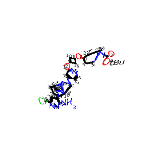 CC(C)(C)OC(=O)N1CCC(O[C@H]2C[C@H](Oc3cc(N4CC5CCCC4CN5c4cc(Cl)nnc4N)ccn3)C2)CC1